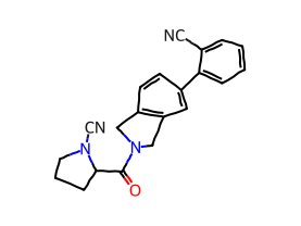 N#Cc1ccccc1-c1ccc2c(c1)CN(C(=O)C1CCCN1C#N)C2